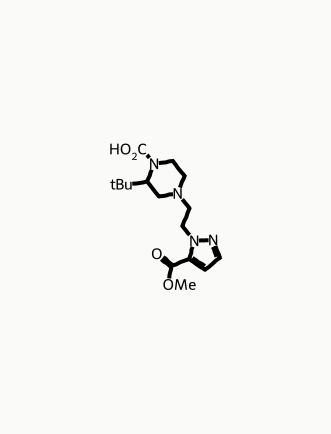 COC(=O)c1ccnn1CCN1CCN(C(=O)O)C(C(C)(C)C)C1